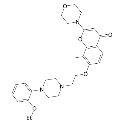 CCOc1ccccc1N1CCN(CCOc2ccc3c(=O)cc(N4CCOCC4)oc3c2C)CC1